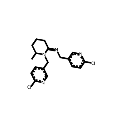 CC1CCCC(=NCc2ccc(Cl)nc2)N1Cc1ccc(Cl)nc1